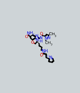 CCn1nc(C)cc1C(=O)Nc1nc2cc(C(N)=O)cc3c2n1[C@@H](CCCCNC(=O)/C=C/c1ccccn1)CO3